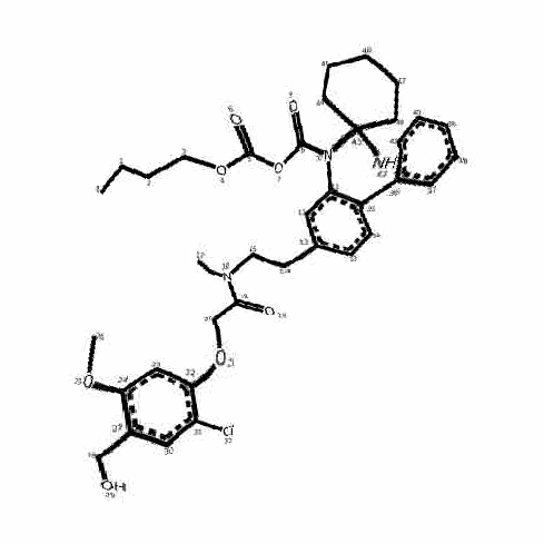 CCCCOC(=O)OC(=O)N(c1cc(CCN(C)C(=O)COc2cc(OC)c(CO)cc2Cl)ccc1-c1ccccc1)C1(N)CCCCC1